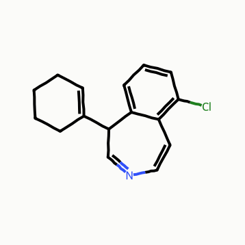 Clc1cccc2c1C=CN=CC2C1=CCCCC1